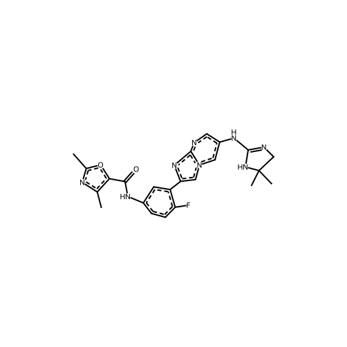 Cc1nc(C)c(C(=O)Nc2ccc(F)c(-c3cn4cc(NC5=NCC(C)(C)N5)cnc4n3)c2)o1